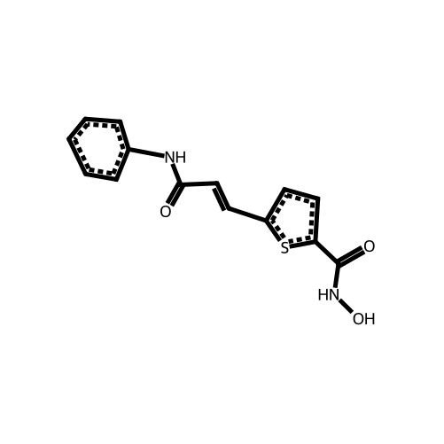 O=C(C=Cc1ccc(C(=O)NO)s1)Nc1ccccc1